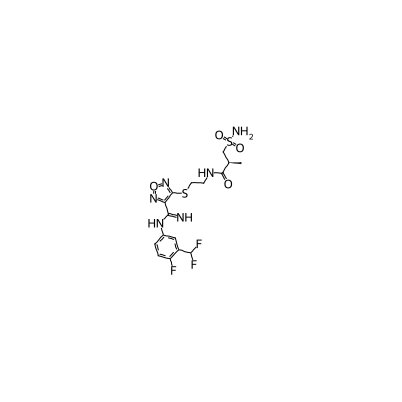 C[C@H](CS(N)(=O)=O)C(=O)NCCSc1nonc1C(=N)Nc1ccc(F)c(C(F)F)c1